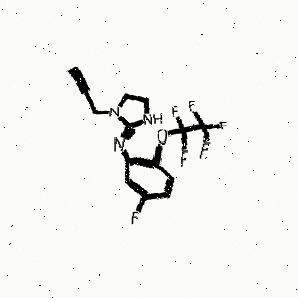 C#CCN1CCN/C1=N\c1cc(F)ccc1OC(F)(F)C(F)(F)F